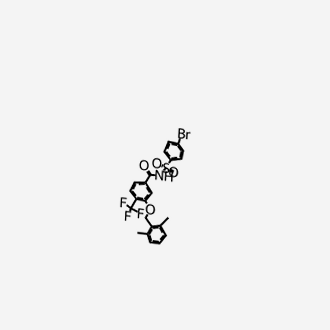 Cc1cccc(C)c1COc1cc(C(=O)NS(=O)(=O)c2ccc(Br)cc2)ccc1C(F)(F)F